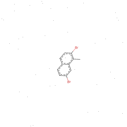 Cc1c(Br)ccc2ccc(Br)cc12